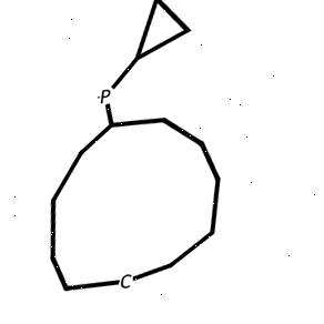 C1CCCCCC([P]C2CC2)CCCC1